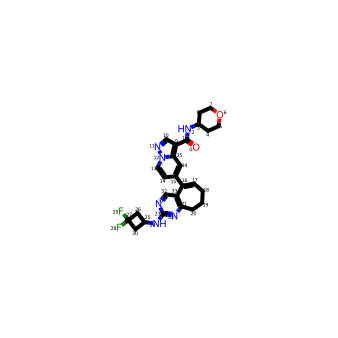 O=C(NC1CCOCC1)c1cnn2ccc(C3=CCCCc4nc(NC5CC(F)(F)C5)ncc43)cc12